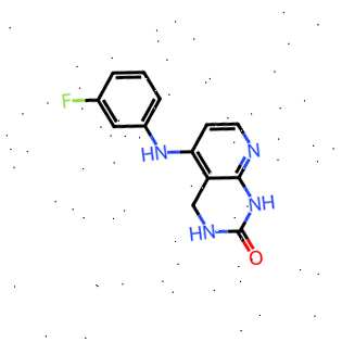 O=C1NCc2c(Nc3cccc(F)c3)ccnc2N1